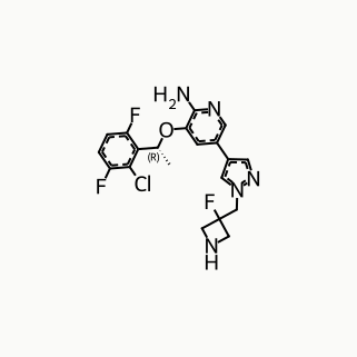 C[C@@H](Oc1cc(-c2cnn(CC3(F)CNC3)c2)cnc1N)c1c(F)ccc(F)c1Cl